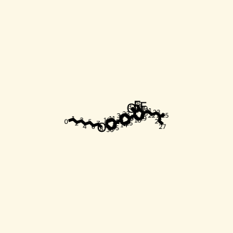 CCCCCCCCOc1ccc(-c2ccc(C3=CC=C(CCCC(C)CC)C(F)(F)C3=O)cc2)cc1